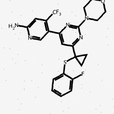 Nc1cc(C(F)(F)F)c(-c2cc(C3(Sc4ccccc4F)CC3)nc(N3CCOCC3)n2)cn1